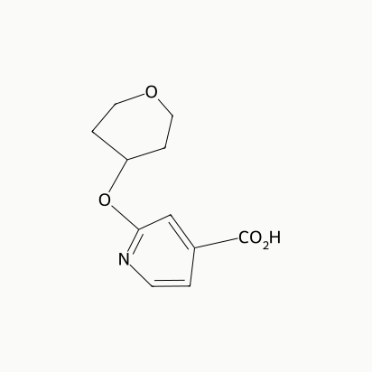 O=C(O)c1ccnc(OC2CCOCC2)c1